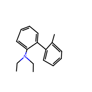 CCN(CC)c1ccccc1-c1ccccc1C